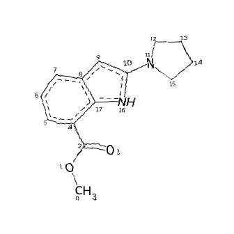 COC(=O)c1cccc2cc(N3CCCC3)[nH]c12